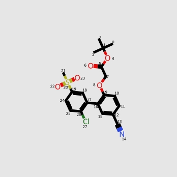 CC(C)(C)OC(=O)COc1ccc(C#N)cc1-c1cc(S(C)(=O)=O)ccc1Cl